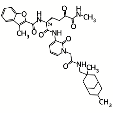 CNC(=O)C(=O)CC[C@H](NC(=O)c1oc2ccccc2c1C)C(=O)Nc1cccn(CC(=O)NCC2(C)CC3CC(C)CC(C3)C2)c1=O